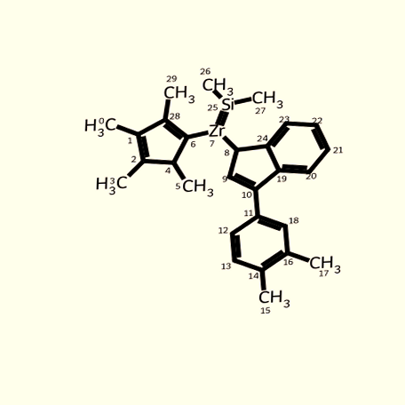 CC1=C(C)C(C)[C]([Zr]([CH]2C=C(c3ccc(C)c(C)c3)c3ccccc32)=[Si](C)C)=C1C